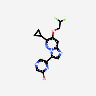 FC(F)COc1cc2ncc(-c3cncc(Br)n3)n2nc1C1CC1